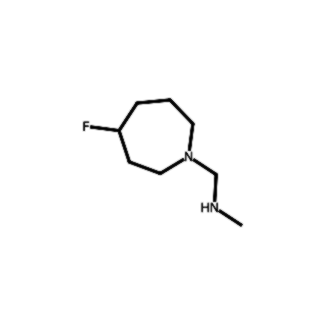 CNCN1CCCC(F)CC1